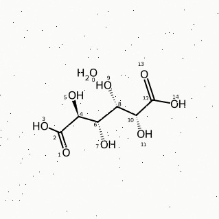 O.O=C(O)[C@@H](O)[C@@H](O)[C@H](O)[C@@H](O)C(=O)O